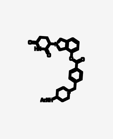 CC(=O)NC1CCN(Cc2ccc(C(=O)Oc3cccc4c3CN(C3CCC(=O)NC3=O)C4)cc2)CC1